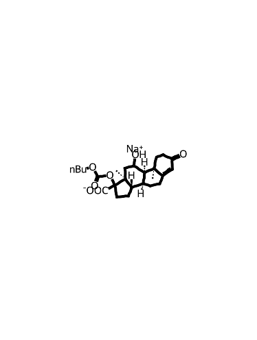 CCCCOC(=O)OC1(C(=O)[O-])CC[C@H]2[C@@H]3CCC4=CC(=O)CC[C@]4(C)[C@@H]3C(O)C[C@@]21C.[Na+]